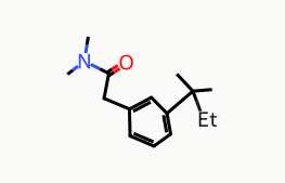 CCC(C)(C)c1cccc(CC(=O)N(C)C)c1